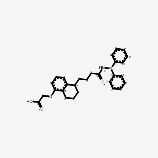 O=C(O)COc1cccc2c1CCCC2CCCC(=O)NN(c1ccccc1)c1ccccc1